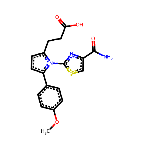 COc1ccc(-c2ccc(CCC(=O)O)n2-c2nc(C(N)=O)cs2)cc1